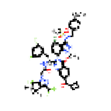 COc1ccc(CN(c2nn(C)c3c(-n4c([C@H](Cc5cc(F)cc(F)c5)NC(=O)Cn5nc(C(F)F)c6c5C(F)(F)[C@@H]5C[C@H]65)nc5cc(C(=O)C6CCC6)ccc5c4=O)ccc(Cl)c23)S(C)(=O)=O)cc1